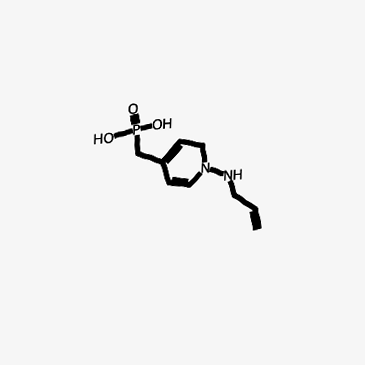 C=CCNN1C=CC(CP(=O)(O)O)=CC1